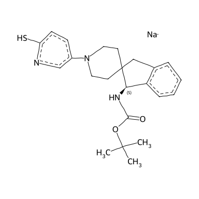 CC(C)(C)OC(=O)N[C@@H]1c2ccccc2CC12CCN(c1ccc(S)nc1)CC2.[Na]